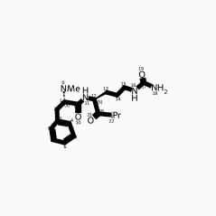 CN[C@@H](Cc1ccccc1)C(=O)N[C@@H](CCCNC(N)=O)C(=O)C(C)C